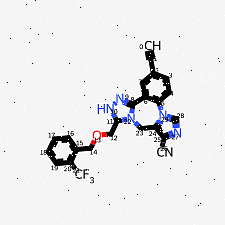 C#Cc1ccc2c(c1)C1=NNC(COCc3ccccc3C(F)(F)F)N1Cc1c(C#N)ncn1-2